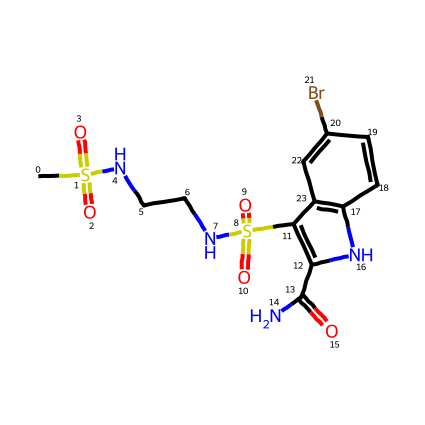 CS(=O)(=O)NCCNS(=O)(=O)c1c(C(N)=O)[nH]c2ccc(Br)cc12